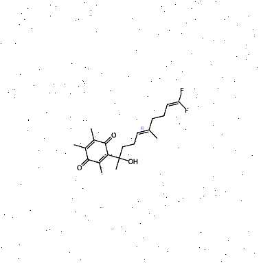 CC1=C(C)C(=O)C(C(C)(O)CC/C=C(\C)CCC=C(F)F)=C(C)C1=O